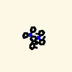 Cc1ccccc1N1c2cc(N(c3ccccc3)c3ccccc3)cc3c2B(c2cccc(C)c21)c1c(C)cccc1-3